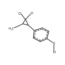 CCOc1ccc(C2C(C)C2(Cl)Cl)cc1